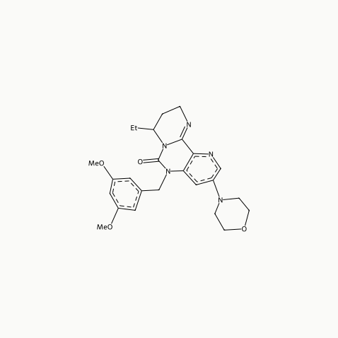 CCC1CCN=C2c3ncc(N4CCOCC4)cc3N(Cc3cc(OC)cc(OC)c3)C(=O)N21